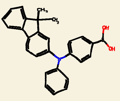 CC1(C)c2ccccc2-c2ccc(N(c3ccccc3)c3ccc(B(O)O)cc3)cc21